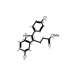 COC(=O)CCc1c(-c2ccc(Cl)cc2)[nH]c2cnc(Cl)cc12